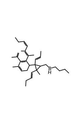 C=C(C)C1=C(/C(C)=C(C)/C=C\CC)C(C2(C=CC)C(CBCCCC)C2(C)C=CCC)CC=C1C